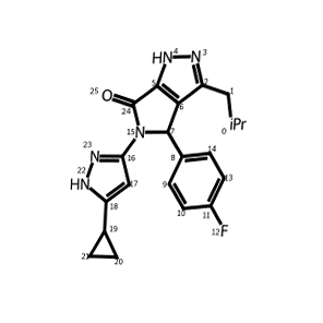 CC(C)Cc1n[nH]c2c1C(c1ccc(F)cc1)N(c1cc(C3CC3)[nH]n1)C2=O